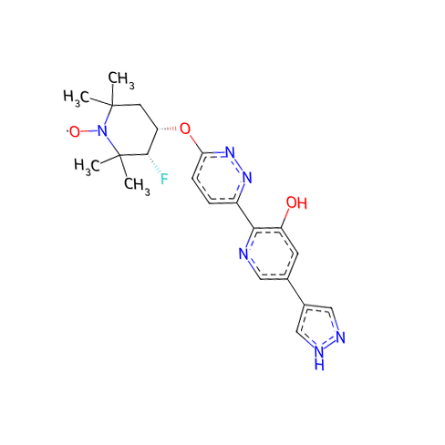 CC1(C)C[C@H](Oc2ccc(-c3ncc(-c4cn[nH]c4)cc3O)nn2)[C@H](F)C(C)(C)N1[O]